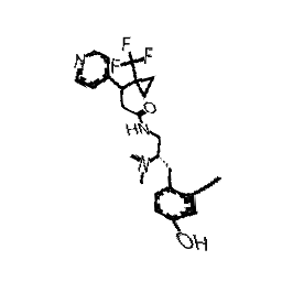 Cc1cc(O)ccc1C[C@@H](CNC(=O)CC(c1ccncc1)C1(C(F)(F)F)CC1)N(C)C